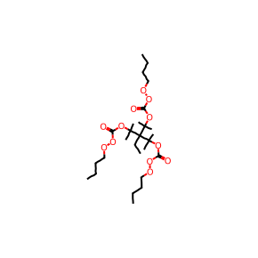 CCCCOOC(=O)OC(C)(C)C(CC)(C(C)(C)OC(=O)OOCCCC)C(C)(C)OC(=O)OOCCCC